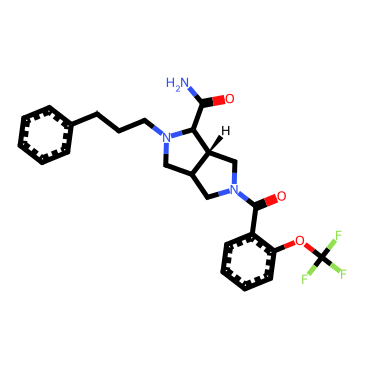 NC(=O)C1[C@@H]2CN(C(=O)c3ccccc3OC(F)(F)F)CC2CN1CC[CH]c1ccccc1